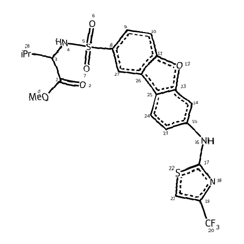 COC(=O)C(NS(=O)(=O)c1ccc2oc3cc(Nc4nc(C(F)(F)F)cs4)ccc3c2c1)C(C)C